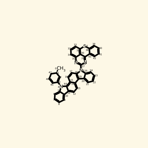 C[C@H]1C=C(n2c3ccccc3c3ccc4c(ccc5c4c4ccccc4n5-c4nc5c6c(cccc6n4)Sc4ccccc4-5)c32)C=CC1